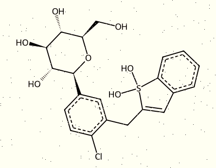 OC[C@H]1O[C@@H](c2ccc(Cl)c(CC3=Cc4ccccc4S3(O)O)c2)[C@H](O)[C@@H](O)[C@@H]1O